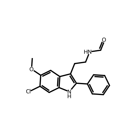 COc1cc2c(CCNC=O)c(-c3ccccc3)[nH]c2cc1Cl